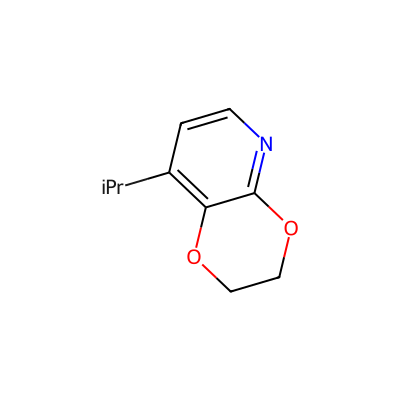 CC(C)c1ccnc2c1OCCO2